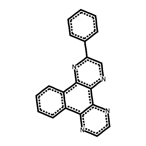 c1ccc(-c2cnc3c(n2)c2ccccc2c2nccnc23)cc1